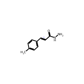 Cc1ccc(/C=C/C(=O)NN)cc1